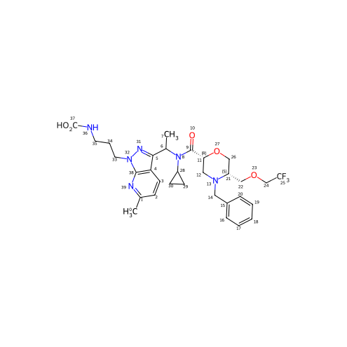 Cc1ccc2c(C(C)N(C(=O)[C@H]3CN(Cc4ccccc4)[C@@H](COCC(F)(F)F)CO3)C3CC3)nn(CCCNC(=O)O)c2n1